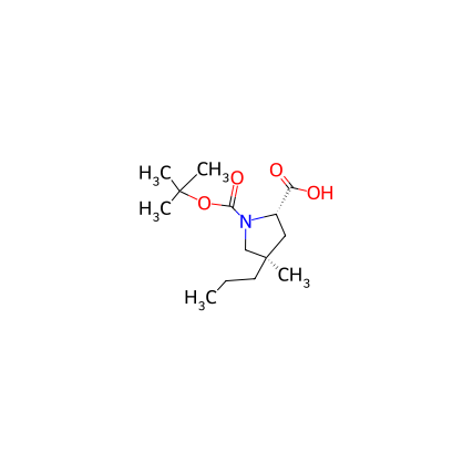 CCC[C@]1(C)C[C@@H](C(=O)O)N(C(=O)OC(C)(C)C)C1